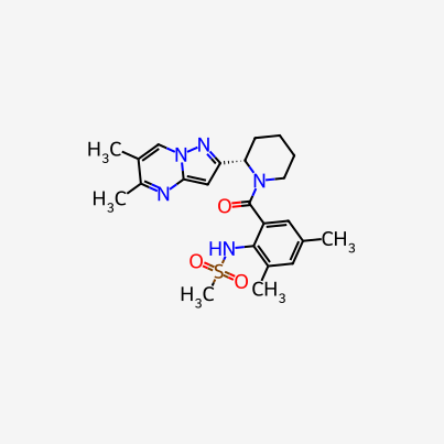 Cc1cc(C)c(NS(C)(=O)=O)c(C(=O)N2CCCC[C@H]2c2cc3nc(C)c(C)cn3n2)c1